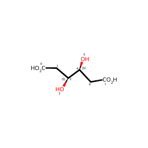 O=C(O)C[C@H](O)[C@@H](O)CC(=O)O